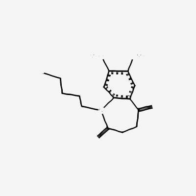 COc1cc2c(cc1OC)N(CCCCCl)C(=O)CCC2=O